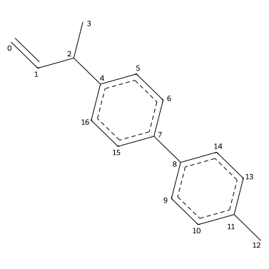 C=CC(C)c1ccc(-c2ccc(C)cc2)cc1